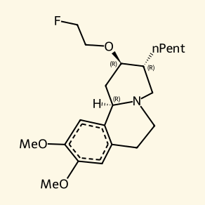 CCCCC[C@@H]1CN2CCc3cc(OC)c(OC)cc3[C@H]2C[C@H]1OCCF